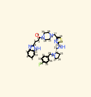 O=C(CCc1nc2ccccc2[nH]1)N1CCN(Cc2csc(NC[C@@H]3CCCN3Cc3ccc(F)cc3)n2)CC1